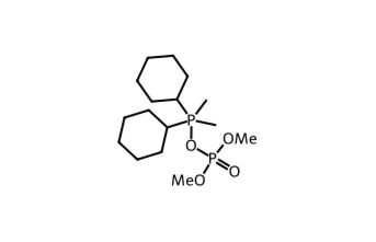 COP(=O)(OC)OP(C)(C)(C1CCCCC1)C1CCCCC1